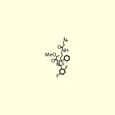 CO[C@@H](C)C(=O)N1N=C(c2cc(F)ccc2F)SC1(CCCNC(=O)CCN(C)C)c1ccccc1